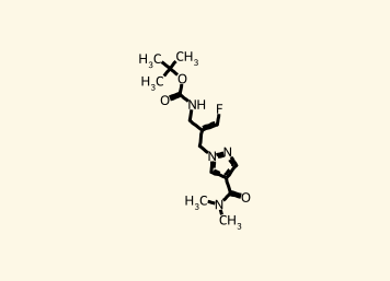 CN(C)C(=O)c1cnn(CC(=CF)CNC(=O)OC(C)(C)C)c1